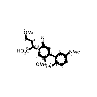 CNc1ccc(C(C)C)c(-c2cc(=O)n(C(CCOC)C(=O)O)cc2OC)c1